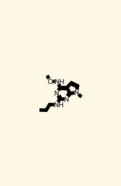 CCCNc1nc(NOC)c2ccn(C)c2n1